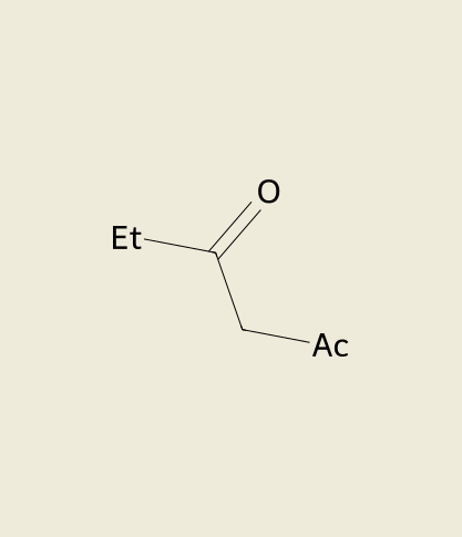 [CH2]C(=O)CC(=O)CC